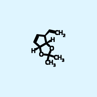 C=C[C@@H]1C=C[C@H]2OC(C)(C)O[C@@H]12